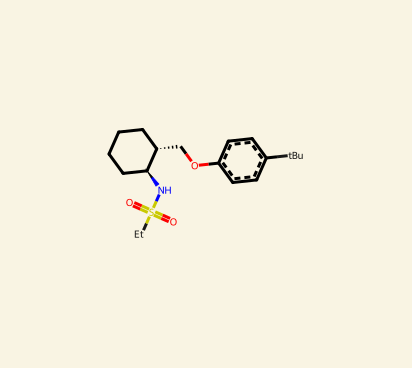 CCS(=O)(=O)N[C@H]1CCCC[C@@H]1COc1ccc(C(C)(C)C)cc1